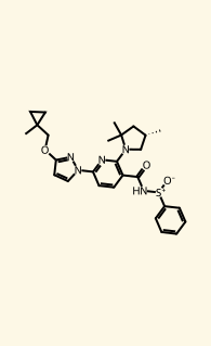 C[C@@H]1CN(c2nc(-n3ccc(OCC4(C)CC4)n3)ccc2C(=O)N[S+]([O-])c2ccccc2)C(C)(C)C1